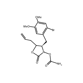 C=CCC1OC(=O)N(OC(N)=O)[C@@H]1Cc1cc(OC)c(OC)cc1Br